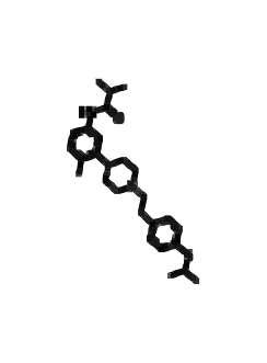 Cc1ccc(NC(=O)C(C)C)cc1C1CCN(CCc2ccc(SC(C)C)cc2)CC1